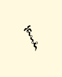 CC[Si](CC)(CC)OCCOCCOC(=O)C=CF